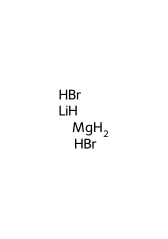 Br.Br.[LiH].[MgH2]